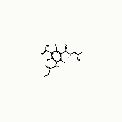 CCC(=O)Nc1c(I)c(C(=O)O)c(I)c(C(=O)NCC(C)O)c1I